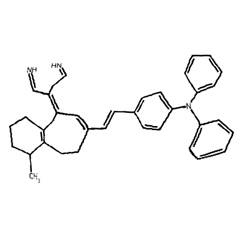 CC1CCCC2=C1CCC(/C=C/c1ccc(N(c3ccccc3)c3ccccc3)cc1)=CC2=C(C=N)C=N